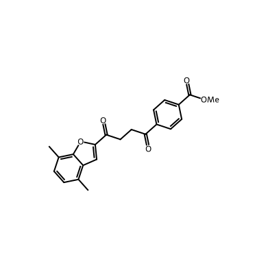 COC(=O)c1ccc(C(=O)CCC(=O)c2cc3c(C)ccc(C)c3o2)cc1